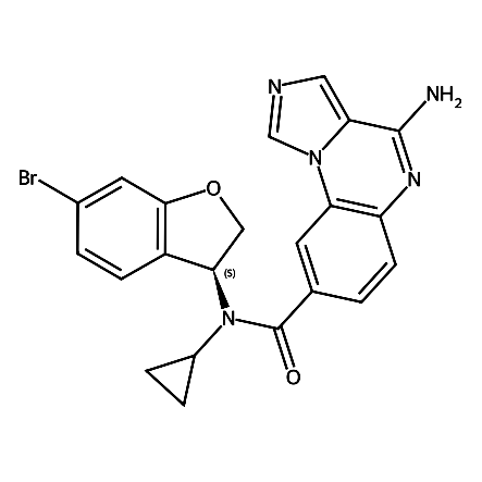 Nc1nc2ccc(C(=O)N(C3CC3)[C@@H]3COc4cc(Br)ccc43)cc2n2cncc12